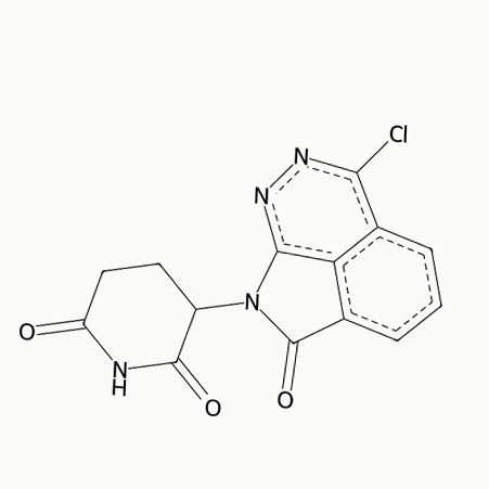 O=C1CCC(N2C(=O)c3cccc4c(Cl)nnc2c34)C(=O)N1